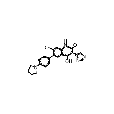 O=c1[nH]c2cc(Cl)c(-c3ccc(N4CCCC4)cc3)cc2c(O)c1-n1cncn1